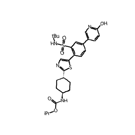 CC(C)OC(=O)N[C@H]1CC[C@H](c2ncc(-c3ccc(-c4ccc(O)nc4)cc3S(=O)(=O)NC(C)(C)C)s2)CC1